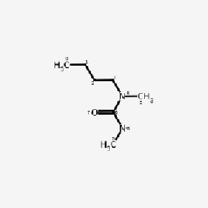 CCCCN(C)C(=O)[N]C